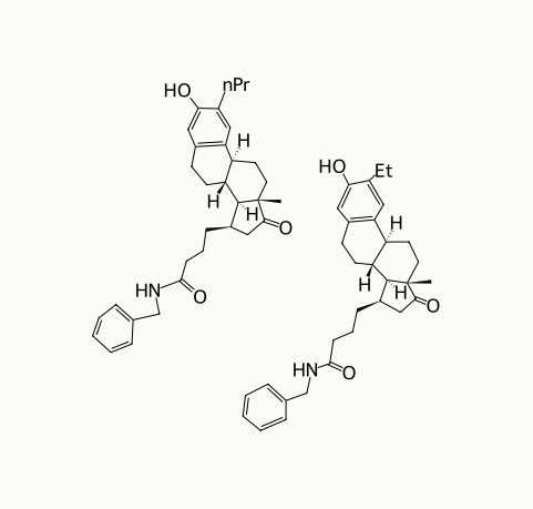 CCCc1cc2c(cc1O)CC[C@H]1[C@@H]3[C@H](CCCC(=O)NCc4ccccc4)CC(=O)[C@@]3(C)CC[C@H]21.CCc1cc2c(cc1O)CC[C@H]1[C@@H]3[C@H](CCCC(=O)NCc4ccccc4)CC(=O)[C@@]3(C)CC[C@H]21